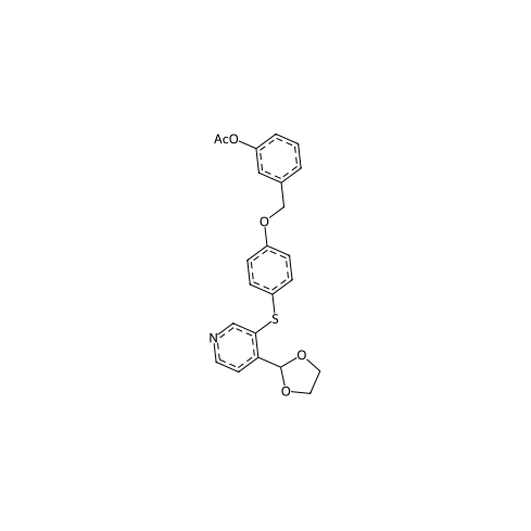 CC(=O)Oc1cccc(COc2ccc(Sc3cnccc3C3OCCO3)cc2)c1